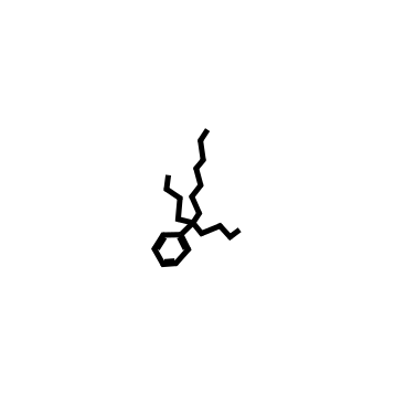 CCCCCCCC(CCCC)(CCCC)c1ccccc1